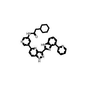 O=C(CC1CCCCC1)Nc1cncc(-c2ccc3[nH]nc(-c4nc5c(-c6ccccn6)cccc5[nH]4)c3n2)c1